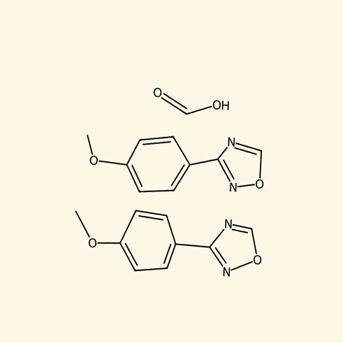 COc1ccc(-c2ncon2)cc1.COc1ccc(-c2ncon2)cc1.O=CO